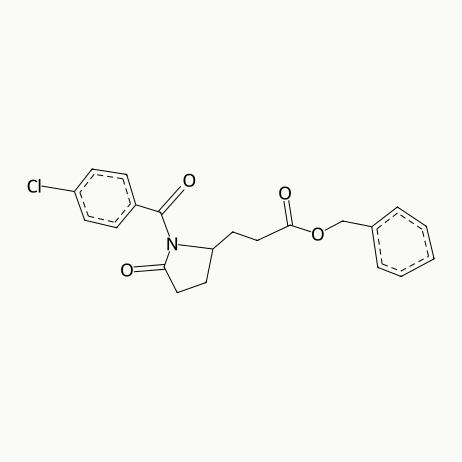 O=C(CCC1CCC(=O)N1C(=O)c1ccc(Cl)cc1)OCc1ccccc1